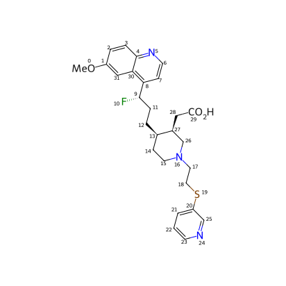 COc1ccc2nccc([C@@H](F)CC[C@@H]3CCN(CCSc4cccnc4)C[C@@H]3CC(=O)O)c2c1